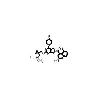 CN(C)CC1(COc2nc3c(c(N4CCC(F)CC4)n2)CN(C(=O)c2cc(O)cc4cccc(I)c24)C3)CC1